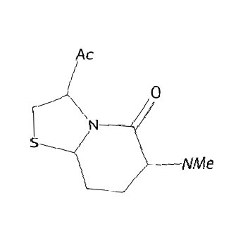 CNC1CCC2SCC(C(C)=O)N2C1=O